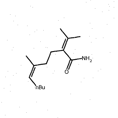 CCCC/C=C(/C)CCC(C(N)=O)=C(C)C